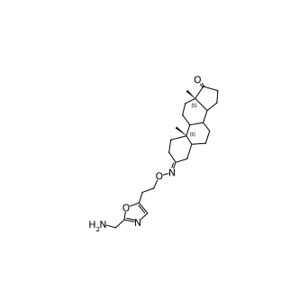 C[C@]12CCC(=NOCCc3cnc(CN)o3)CC1CCC1C2CC[C@]2(C)C(=O)CCC12